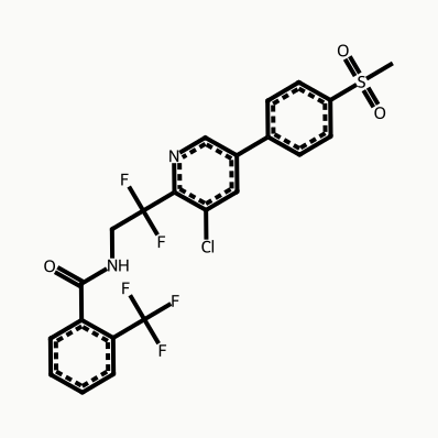 CS(=O)(=O)c1ccc(-c2cnc(C(F)(F)CNC(=O)c3ccccc3C(F)(F)F)c(Cl)c2)cc1